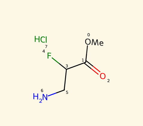 COC(=O)C(F)CN.Cl